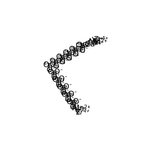 [Ca+2].[Ca+2].[Mn+2].[Mn+2].[O]=[Ti]([O-])[O-].[O]=[Ti]([O-])[O-].[O]=[Ti]([O-])[O-].[O]=[Ti]([O-])[O-].[O]=[Ti]([O-])[O-].[O]=[Ti]([O-])[O-].[O]=[Ti]([O-])[O-].[O]=[Ti]([O-])[O-].[O]=[Ti]([O-])[O-].[O]=[Ti]([O-])[O-].[O]=[Ti]([O-])[O-].[Y+3].[Y+3].[Zr+4].[Zr+4]